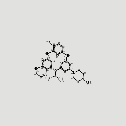 CC(C)Oc1cc(Nc2ncc(F)c(Nc3ccc4c(n3)NCCO4)n2)cc(N2CCN(C)CC2)c1